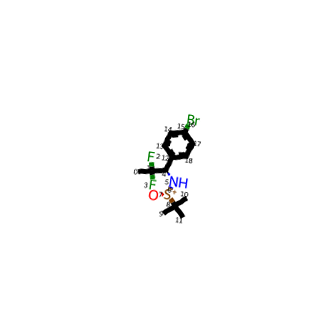 CC(F)(F)[C@@H](N[S@+]([O-])C(C)(C)C)c1ccc(Br)cc1